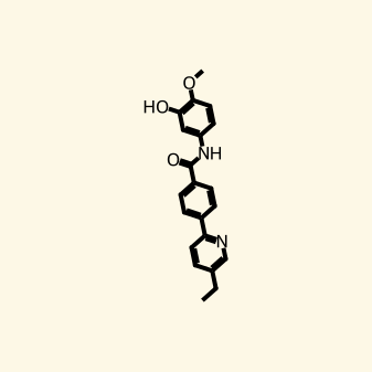 CCc1ccc(-c2ccc(C(=O)Nc3ccc(OC)c(O)c3)cc2)nc1